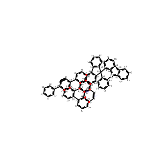 C/C=C\C(=C(/C)N(c1ccccc1-c1c#cc(-c2ccccc2)cc1)c1ccccc1-c1ccccc1-c1ccccc1)c1ccc2c(c1)C1(c3ccccc3-2)c2ccccc2-n2c3ccccc3c3cccc1c32